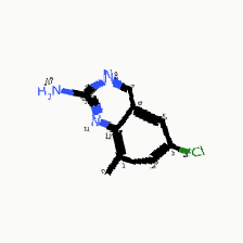 Cc1cc(Cl)cc2cnc(N)nc12